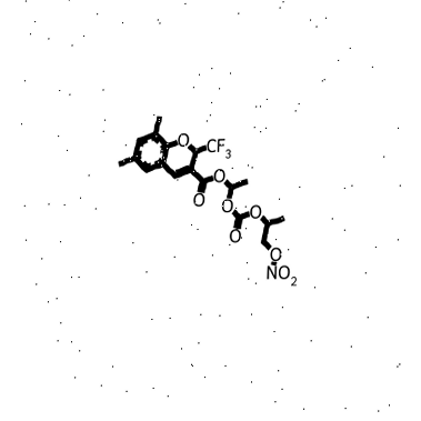 Cc1cc(C)c2c(c1)C=C(C(=O)OC(C)OC(=O)OC(C)CO[N+](=O)[O-])C(C(F)(F)F)O2